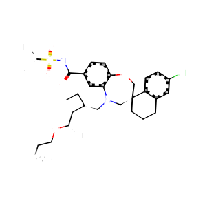 CC[C@H]([C@@H](C)CC)S(=O)(=O)NC(=O)c1ccc2c(c1)N(C[C@@H]1CC[C@H]1[C@H](C)OCCOC)C[C@@]1(CCCc3cc(Cl)ccc31)CO2